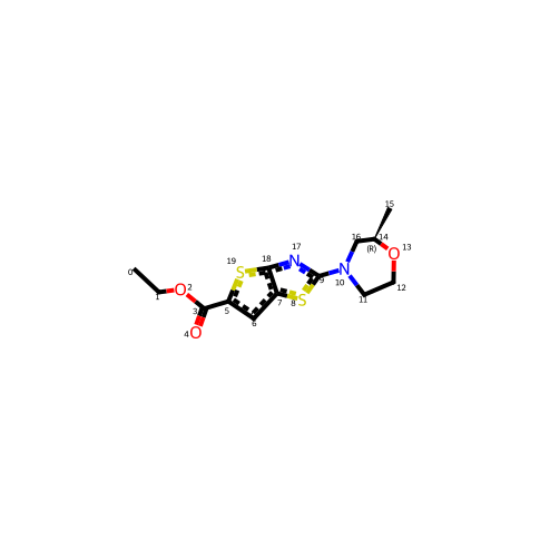 CCOC(=O)c1cc2sc(N3CCO[C@H](C)C3)nc2s1